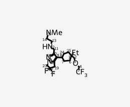 CCC1(COCC(F)(F)F)CCC(c2c(CNCCNC)nn3c2CC(F)(F)C3)CC1